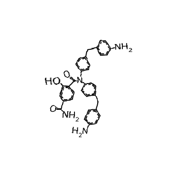 NC(=O)c1ccc(C(=O)N(c2ccc(Cc3ccc(N)cc3)cc2)c2ccc(Cc3ccc(N)cc3)cc2)c(O)c1